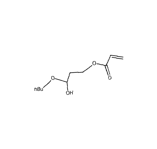 C=CC(=O)OCCC(O)OCCCC